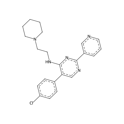 Clc1ccc(-c2cnc(-c3cccnc3)nc2NCCN2CCCCC2)cc1